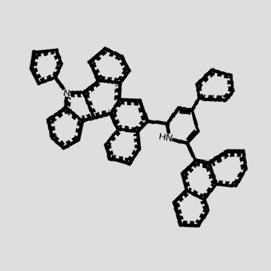 C1=C(c2ccccc2)C=C(c2cc3ccccc3c3ccccc23)NC1c1cc2c3ccccc3c3c(c4ccccc4n3-c3ccccc3)c2c2ccccc12